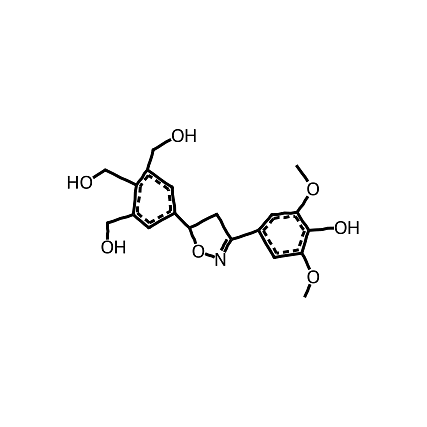 COc1cc(C2=NOC(c3cc(CO)c(CO)c(CO)c3)C2)cc(OC)c1O